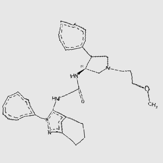 COCCN1CC(c2ccccc2)[C@H](NC(=O)Nc2c3c(nn2-c2ccccc2)CCC3)C1